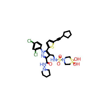 O=C(NN1CCCCC1)c1nn(-c2ccc(Cl)cc2Cl)c(-c2ccc(C#CC3CCCC3)s2)c1CNS(=O)(=O)N1CCS(O)(O)CC1